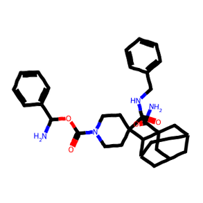 NC(=O)C12CC3CC(CC(C3)C1C1(C(=O)NCc3ccccc3)CCN(C(=O)OC(N)c3ccccc3)CC1)C2